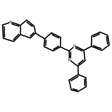 c1ccc(-c2cc(-c3ccccc3)nc(-c3ccc(-c4ccc5ncccc5c4)cc3)n2)cc1